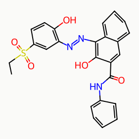 CCS(=O)(=O)c1ccc(O)c(N=Nc2c(O)c(C(=O)Nc3ccccc3)cc3ccccc23)c1